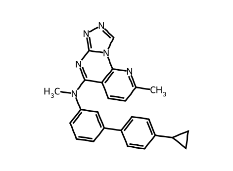 Cc1ccc2c(N(C)c3cccc(-c4ccc(C5CC5)cc4)c3)nc3nncn3c2n1